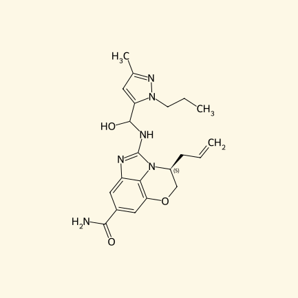 C=CC[C@H]1COc2cc(C(N)=O)cc3nc(NC(O)c4cc(C)nn4CCC)n1c23